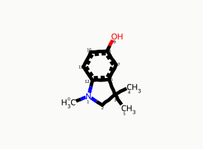 CN1CC(C)(C)c2cc(O)ccc21